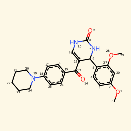 COc1ccc(C2NC(=O)NC=C2C(=O)c2ccc(N3CCCCC3)cc2)c(OC)c1